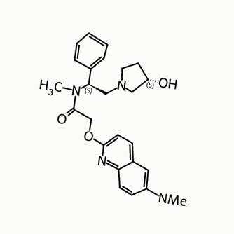 CNc1ccc2nc(OCC(=O)N(C)[C@H](CN3CC[C@H](O)C3)c3ccccc3)ccc2c1